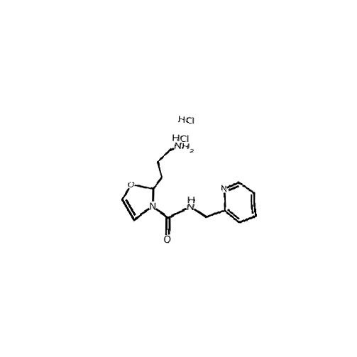 Cl.Cl.NCCC1OC=CN1C(=O)NCc1ccccn1